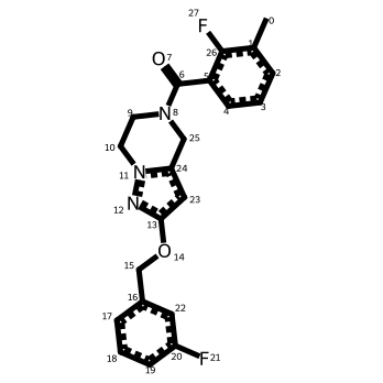 Cc1cccc(C(=O)N2CCn3nc(OCc4cccc(F)c4)cc3C2)c1F